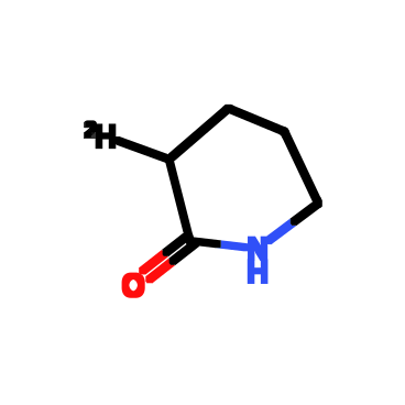 [2H]C1CCCNC1=O